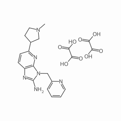 CN1CCC(c2ccc3nc(N)n(Cc4ccccn4)c3n2)C1.O=C(O)C(=O)O.O=C(O)C(=O)O